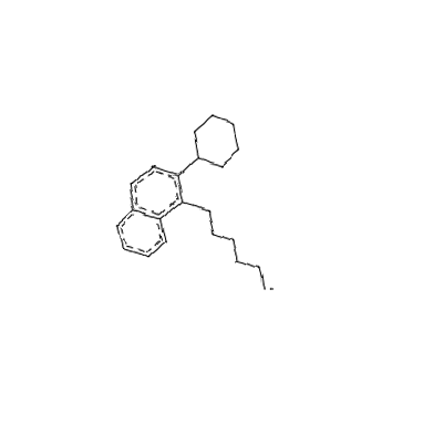 [CH2]CCCCCc1c(C2CCCCC2)ccc2ccccc12